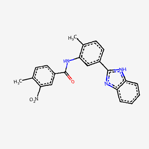 Cc1ccc(-c2nc3ccccc3[nH]2)cc1NC(=O)c1ccc(C)c([N+](=O)[O-])c1